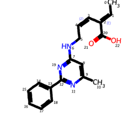 C/C=C(\C=C/CNc1cc(C)nc(-c2ccccc2)n1)C(=O)O